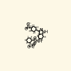 CS(=O)(=O)c1ccccc1S(=O)(=O)Nc1ccc2[nH]nc(-c3ccc([N+](=O)[O-])cc3)c2c1